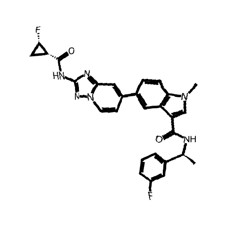 C[C@H](NC(=O)c1cn(C)c2ccc(-c3ccn4nc(NC(=O)[C@@H]5C[C@@H]5F)nc4c3)cc12)c1cccc(F)c1